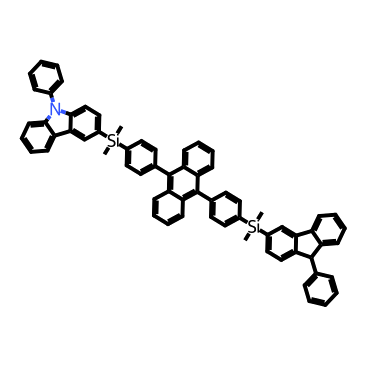 C[Si](C)(c1ccc(-c2c3ccccc3c(-c3ccc([Si](C)(C)c4ccc5c(c4)c4ccccc4n5-c4ccccc4)cc3)c3ccccc23)cc1)c1ccc2c(c1)-c1ccccc1C2c1ccccc1